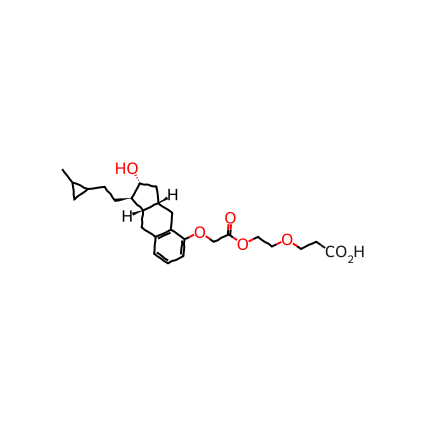 CC1CC1CC[C@@H]1[C@H]2Cc3cccc(OCC(=O)OCCOCCC(=O)O)c3C[C@H]2C[C@H]1O